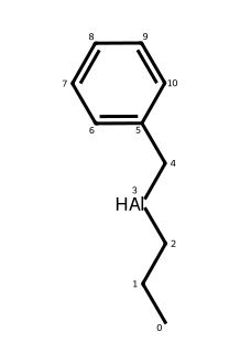 CC[CH2][AlH][CH2]c1ccccc1